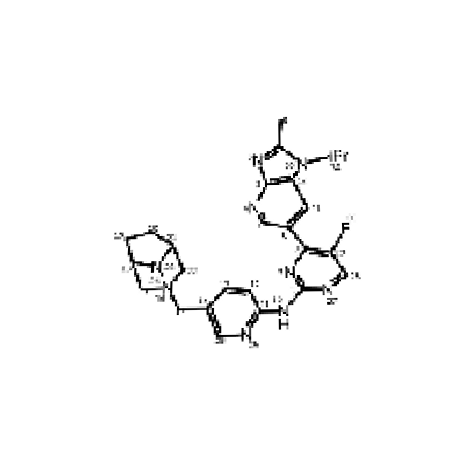 Cc1nc2ncc(-c3nc(Nc4ccc(CN5CC6CCC(C5)N6C)cn4)ncc3F)cc2n1C(C)C